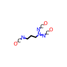 O=C=NCCCN(N=C=O)N=C=O